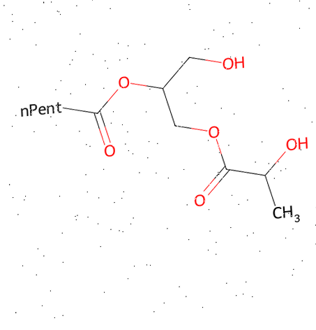 CCCCCC(=O)OC(CO)COC(=O)C(C)O